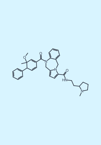 COC1(C)C=C(C(=O)N2Cc3ccc(C(=O)NCCC4CCCN4C)n3Cc3ccccc32)C=CC1c1ccccc1